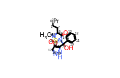 CC(C)CCC1C(=O)N(C(O)(c2ccccc2)c2ccn[nH]2)S(=O)(=O)N1C